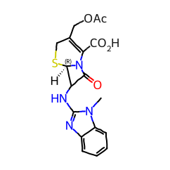 CC(=O)OCC1=C(C(=O)O)N2C(=O)C(Nc3nc4ccccc4n3C)[C@H]2SC1